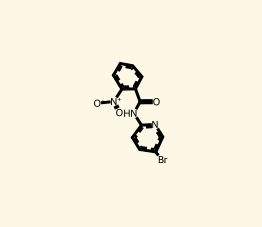 O=C(Nc1ccc(Br)cn1)c1ccccc1[N+](=O)[O-]